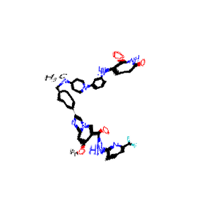 CC(C)Oc1cc2nc([C@H]3CC[C@H](CN(C)C4CCN(c5cccc(NC6CCC(=O)NC6=O)c5)CC4)CC3)cn2cc1C(=O)Nc1cccc(C(F)F)n1